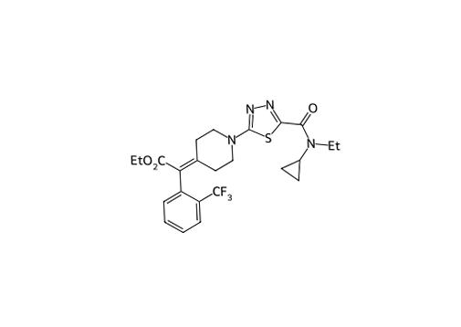 CCOC(=O)C(=C1CCN(c2nnc(C(=O)N(CC)C3CC3)s2)CC1)c1ccccc1C(F)(F)F